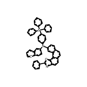 c1ccc(-c2nc3ccc4ccc5ccc(N(c6ccc([Si](c7ccccc7)(c7ccccc7)c7ccccc7)cc6)c6ccc7ccccc7c6)cc5c4c3o2)cc1